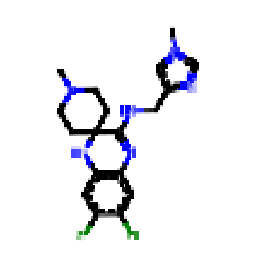 CN1CCC2(CC1)Nc1cc(Cl)c(Cl)cc1N=C2NCc1cn(C)cn1